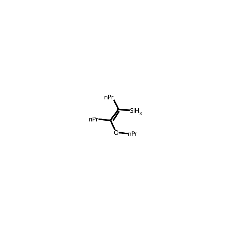 CCCOC(CCC)=C([SiH3])CCC